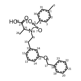 Cc1ccc(S(=O)(=O)N(CCc2cccc(OCc3ccccc3)c2)C(C)C(=O)O)cc1